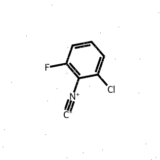 [C-]#[N+]c1c(F)cccc1Cl